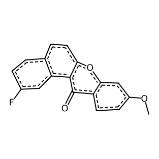 COc1ccc2c(=O)c3c(ccc4ccc(F)cc43)oc2c1